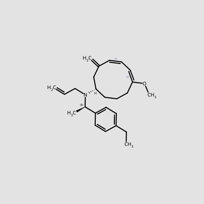 C=CCN([C@H]1CCC/C(OC)=C\C=C/C(=C)C1)[C@H](C)c1ccc(CC)cc1